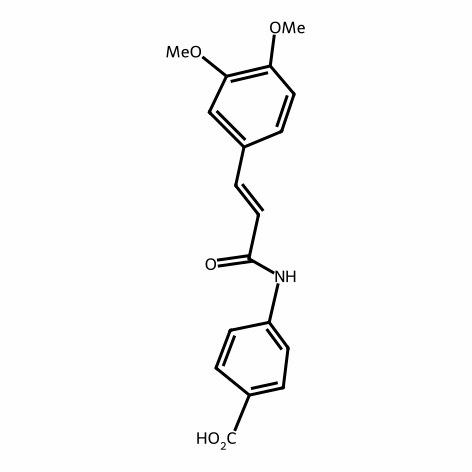 COc1ccc(/C=C/C(=O)Nc2ccc(C(=O)O)cc2)cc1OC